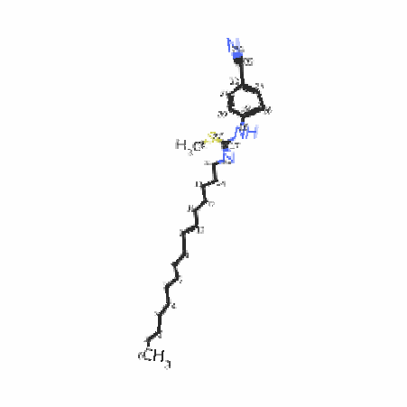 CCCCCCCCCCCCCCCC/N=C(/Nc1ccc(C#N)cc1)SC